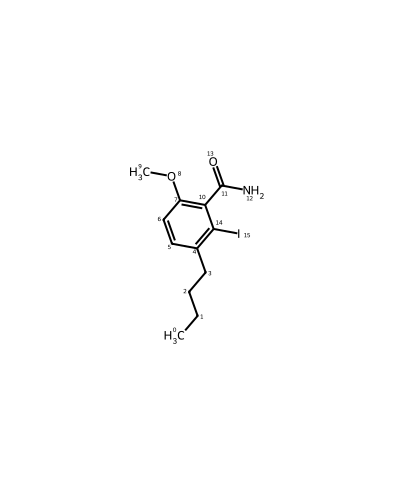 CCCCc1ccc(OC)c(C(N)=O)c1I